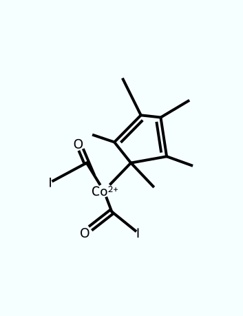 CC1=C(C)[C](C)([Co+2]([C](=O)I)[C](=O)I)C(C)=C1C